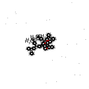 CC(C)(C)c1ccc(N(c2ccc3c(c2)c2ccccc2n3-c2ccccc2)c2ccc3c(c2)c2cc(N(c4ccc(C(C)(C)C)cc4)c4ccc5c(c4)c4ccccc4n5-c4ccccc4)cc4c2n3-c2ccccc2C42c3ccc4ccccc4c3-c3c2ccc2ccccc32)cc1